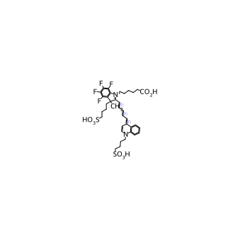 CC1(CCCCS(=O)(=O)O)C(/C=C/C=C/C=C2\C=CN(CCCCS(=O)(=O)O)c3ccccc32)=[N+](CCCCCC(=O)O)c2c(F)c(F)c(F)c(F)c21